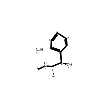 CN[C@@H](C)[C@H](O)c1ccccc1.[NaH]